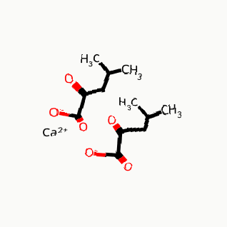 CC(C)CC(=O)C(=O)[O-].CC(C)CC(=O)C(=O)[O-].[Ca+2]